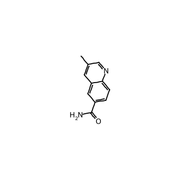 Cc1cnc2ccc(C(N)=O)cc2c1